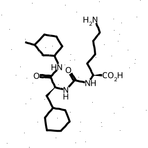 CC1CCCC(NC(=O)[C@H](CC2CCCCC2)NC(=O)N[C@@H](CCCCN)C(=O)O)C1